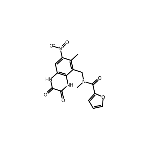 Cc1c([N+](=O)[O-])cc2[nH]c(=O)c(=O)[nH]c2c1CN(C)C(=O)c1ccco1